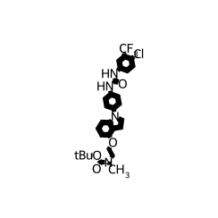 CN(CCOc1cccc2c1ccn2-c1ccc(NC(=O)Nc2ccc(Cl)c(C(F)(F)F)c2)cc1)C(=O)OC(C)(C)C